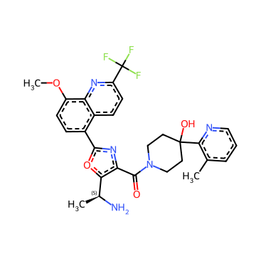 COc1ccc(-c2nc(C(=O)N3CCC(O)(c4ncccc4C)CC3)c([C@H](C)N)o2)c2ccc(C(F)(F)F)nc12